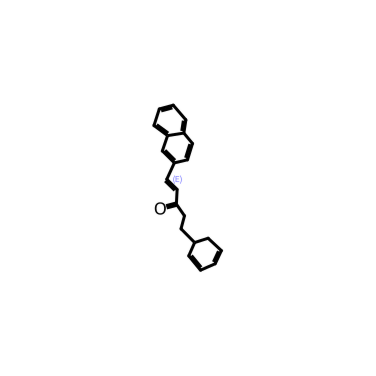 O=C(/C=C/c1ccc2ccccc2c1)CCC1C=CC=CC1